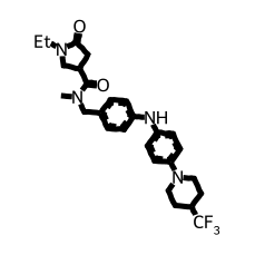 CCN1CC(C(=O)N(C)Cc2ccc(Nc3ccc(N4CCC(C(F)(F)F)CC4)cc3)cc2)CC1=O